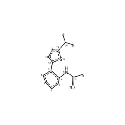 CC(=O)Nc1ccccc1-c1ccc(C(C)C)s1